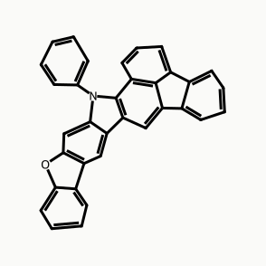 c1ccc(-n2c3cc4oc5ccccc5c4cc3c3cc4c5c(cccc5c32)-c2ccccc2-4)cc1